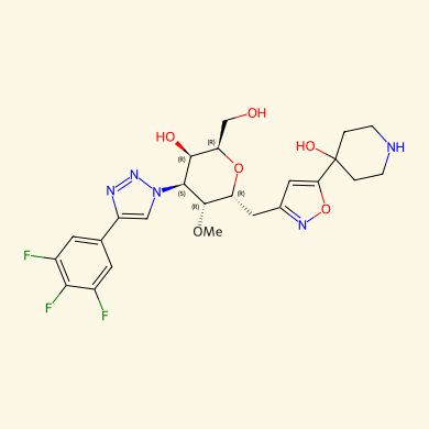 CO[C@@H]1[C@@H](n2cc(-c3cc(F)c(F)c(F)c3)nn2)[C@@H](O)[C@@H](CO)O[C@@H]1Cc1cc(C2(O)CCNCC2)on1